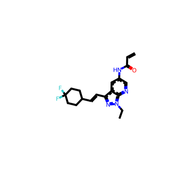 C=CC(=O)Nc1cnc2c(c1)c(/C=C/C1CCC(F)(F)CC1)nn2CC